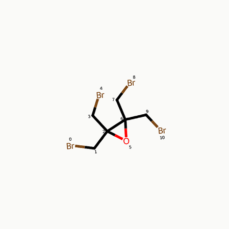 BrCC1(CBr)OC1(CBr)CBr